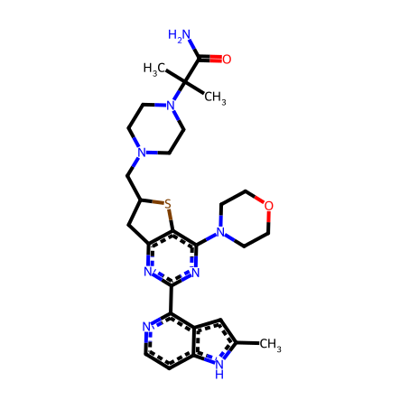 Cc1cc2c(-c3nc4c(c(N5CCOCC5)n3)SC(CN3CCN(C(C)(C)C(N)=O)CC3)C4)nccc2[nH]1